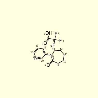 O=C(O)C(F)(F)F.O=C1CCCCCN1c1cccnc1